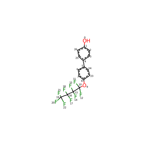 Oc1ccc(-c2ccc(OC(F)(F)C(F)(F)C(F)(F)C(F)(F)F)cc2)cc1